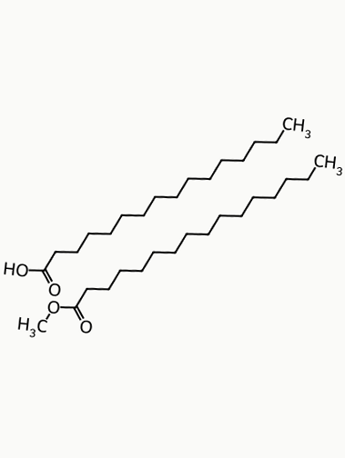 CCCCCCCCCCCCCCCC(=O)O.CCCCCCCCCCCCCCCC(=O)OC